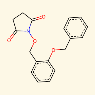 O=C1CCC(=O)N1OCc1ccccc1OCc1ccccc1